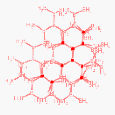 BB(B)B(B(B)B)B(B(B)B)B(B(BB(B(B(B(B)B)B(B)B)B(B(B)B)B(B)B)B(B(B(B)B)B(B)B)B(B(B)B)B(B)B)B(B(B(B(B)B)B(B)B)B(B(B)B)B(B)B)B(B(B(B)B)B(B)B)B(B(B)B)B(B)B)B(B(B)B)B(B)B